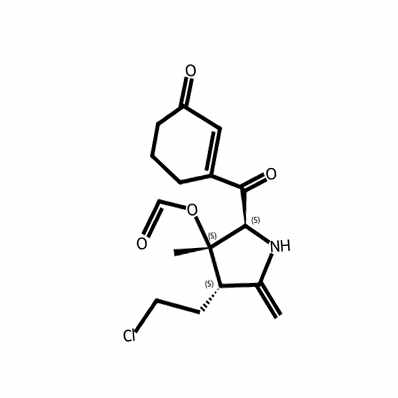 C=C1N[C@H](C(=O)C2=CC(=O)CCC2)[C@@](C)(OC=O)[C@H]1CCCl